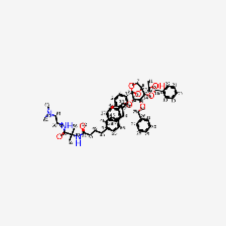 Cc1ccc([C@]23OC[C@](C(C)(C)O)(O2)[C@@H](OCc2ccccc2)[C@H](OCc2ccccc2)[C@H]3OCc2ccccc2)cc1Cc1ccc(CCCC(=O)NC(C)(C)C(=O)NCCN(C)C)cc1